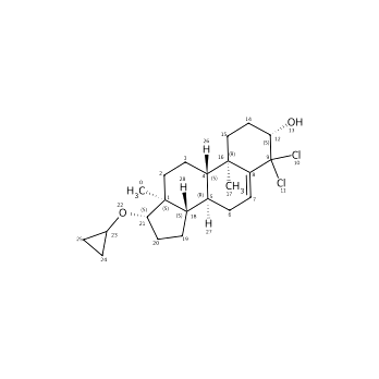 C[C@]12CC[C@H]3[C@@H](CC=C4C(Cl)(Cl)[C@@H](O)CC[C@@]43C)[C@@H]1CC[C@@H]2OC1CC1